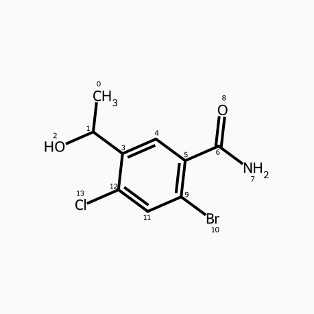 CC(O)c1cc(C(N)=O)c(Br)cc1Cl